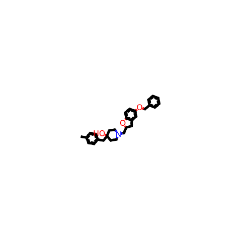 Cc1ccc(CC2(O)CCN(CC3Cc4cc(OCc5ccccc5)ccc4O3)CC2)cc1